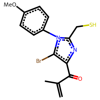 C=C(C)C(=O)c1nc(CS)n(-c2ccc(OC)cc2)c1Br